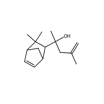 C=C(C)CC(C)(O)C1C2C=CC(C2)C1(C)C